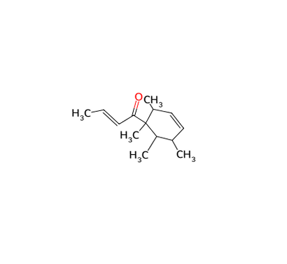 CC=CC(=O)C1(C)C(C)C=CC(C)C1C